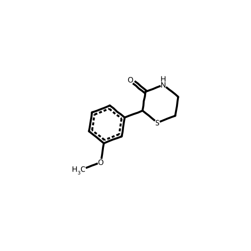 COc1cccc(C2SCCNC2=O)c1